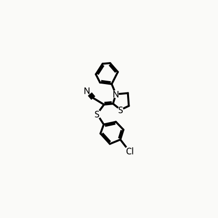 N#CC(Sc1ccc(Cl)cc1)=C1SCCN1c1ccccc1